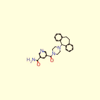 NC(=O)c1cncc(C(=O)N2CCN(C3c4ccccc4CCc4ccccc43)CC2)c1